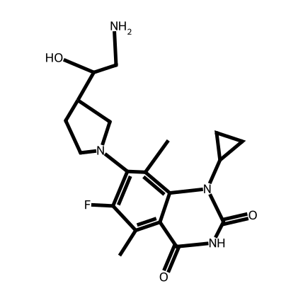 Cc1c(F)c(N2CCC(C(O)CN)C2)c(C)c2c1c(=O)[nH]c(=O)n2C1CC1